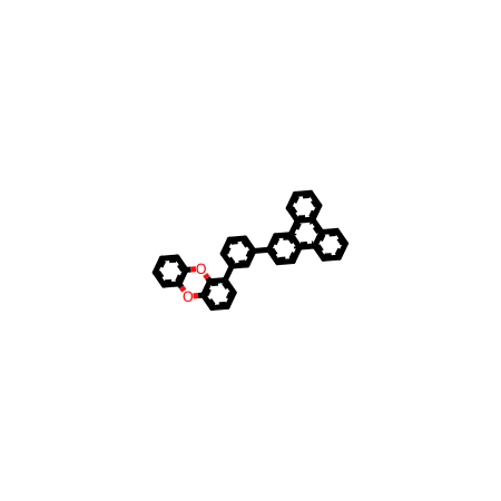 c1cc(-c2ccc3c4ccccc4c4ccccc4c3c2)cc(-c2cccc3c2Oc2ccccc2O3)c1